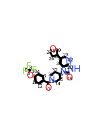 O=C(c1ccc(OC(F)(F)F)cc1)N1CCC(n2c(=O)[nH]c3ncc(C4CCOC4)cc32)CC1